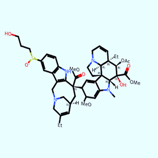 CCC1=C[C@H]2CN(C1)Cc1c([nH]c3ccc([S+]([O-])CCCO)cc13)[C@@](C(=O)OC)(C1C=C3C(=CC1OC)N(C)[C@H]1[C@@](O)(C(=O)OC)[C@H](OC(C)=O)[C@]4(CC)C=CCN5CC[C@]31[C@@H]54)C2